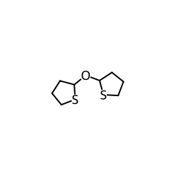 C1CSC(OC2CCCS2)C1